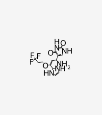 NC(/C=C(/OCCC(F)(F)F)C1NC=CN1)c1c[nH]c(=O)[nH]c1=O